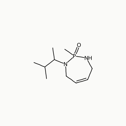 CC(C)C(C)N1CC=CCNP1(C)=O